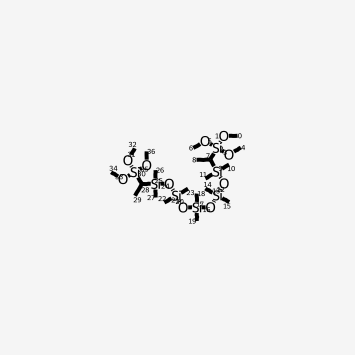 CO[Si](OC)(OC)C(C)[Si](C)(C)O[Si](C)(C)O[Si](C)(C)O[Si](C)(C)O[Si](C)(C)C(C)[Si](OC)(OC)OC